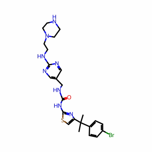 CC(C)(c1ccc(Br)cc1)c1csc(NC(=O)NCc2cnc(NCCN3CCNCC3)nc2)n1